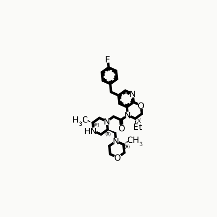 CC[C@H]1COc2ncc(Cc3ccc(F)cc3)cc2N1C(=O)CN1C[C@@H](C)NC[C@@H]1CN1CCOC[C@H]1C